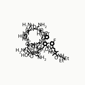 CCN(CC)CCNC(=O)c1c(C)[nH]c(/C=C2\C(=O)N(C(=O)c3c(C)cccc3CSSCC(=O)N[C@@H](CCN)C(=O)N[C@@H](C(=O)N[C@@H](CCN)C(=O)N[C@H]3CCNC(=O)[C@@H]([C@H](C)O)NC(=O)[C@@H](CCN)NC(=O)[C@@H](CCN)NC(=O)[C@@H](CC(C)C)NC(=O)[C@@H](Cc4ccccc4)NC(=O)[C@@H](CCN)NC3=O)[C@@H](C)O)c3ccc(F)cc32)c1C